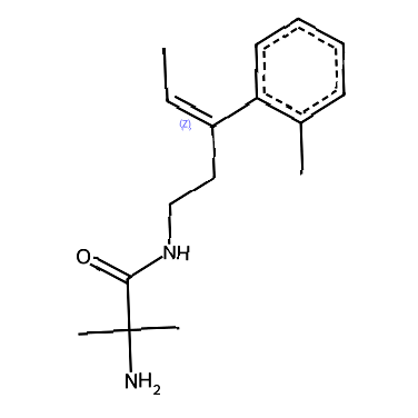 C/C=C(/CCNC(=O)C(C)(C)N)c1ccccc1C